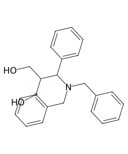 OCC(CO)C(c1ccccc1)N(Cc1ccccc1)Cc1ccccc1